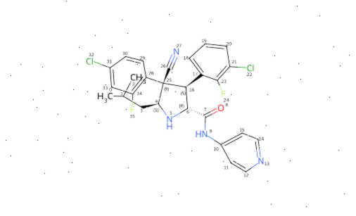 CC(C)C[C@@H]1N[C@@H](C(=O)Nc2ccncc2)[C@H](c2cccc(Cl)c2F)[C@@]1(C#N)c1ccc(Cl)cc1F